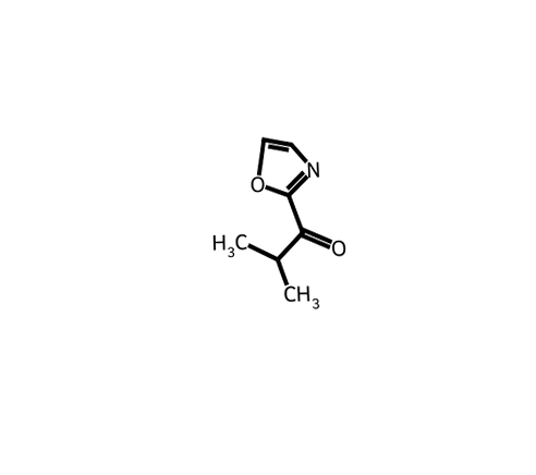 CC(C)C(=O)c1ncco1